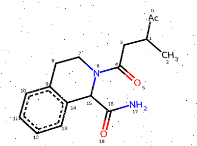 CC(=O)C(C)CC(=O)N1CCc2c[c]ccc2C1C(N)=O